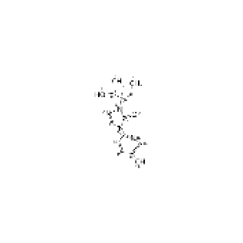 CC[C@@H]([C@@H](C)O)n1ncn(-c2ccc(C)cn2)c1=O